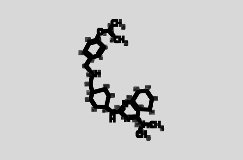 CC(C)Oc1ccc(CNCC2CCC(Nc3nc4c(c(N(C)C)n3)CCCC4)CC2)cc1